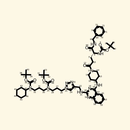 CC(C)(C)OC(=O)N[C@H](CCC(=O)N1CCC(Nc2nc(NCc3cn(CCCN(CCCN(C(=O)OC(C)(C)C)C4CCCCC4)C(=O)OC(C)(C)C)nn3)nc3ccccc23)CC1)C(=O)NCc1ccccc1